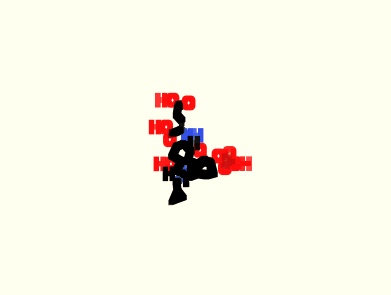 C[N@+]1(CC2CC2)CC[C@]23c4c5ccc(OS(=O)(=O)O)c4O[C@H]2C(N[C@@H](CCC(=O)O)C(=O)O)CC[C@@]3(O)[C@H]1C5